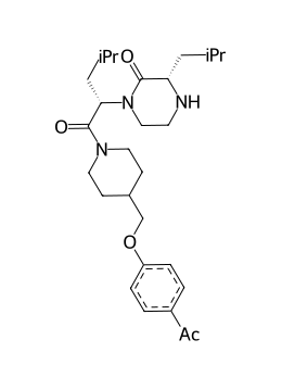 CC(=O)c1ccc(OCC2CCN(C(=O)[C@H](CC(C)C)N3CCN[C@@H](CC(C)C)C3=O)CC2)cc1